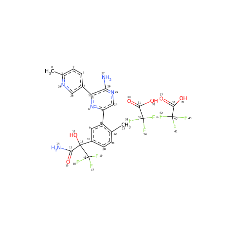 Cc1ccc(-c2nc(-c3cc(C(O)(C(N)=O)C(F)(F)F)ccc3C)cnc2N)cn1.O=C(O)C(F)(F)F.O=C(O)C(F)(F)F